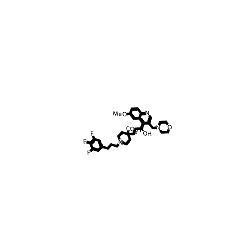 COc1ccc2ncc(CN3CCOCC3)c([C@@H](O)CCC3(C(=O)O)CCN(CCCc4cc(F)c(F)c(F)c4)CC3)c2c1